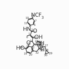 C/C(C(=O)Nc1ccc(NC(F)(F)F)cc1)=C(/O)[C@@H]1Oc2c(O)ccc3c2[C@@]12CCN(CC1CC1)[C@H](C3)[C@@]2(C)O